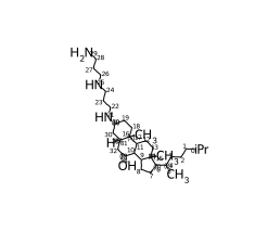 CC(C)CCC[C@@H](C)[C@H]1CCC2C3C(CC[C@@]21C)[C@@]1(C)CC[C@@H](NCCCNCCCN)C[C@H]1C[C@H]3O